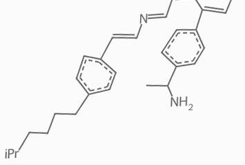 C\C=C(/C=C\C=N\C=C\c1ccc(CCCCC(C)C)cc1)c1ccc(C(C)N)cc1